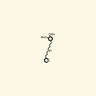 COc1ccc(CCCCNCCCc2cccnc2)cc1OC